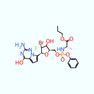 CCCOC(=O)[C@H](C)NP(=O)(OC[C@H]1O[C@@H](c2ccc3c(O)nc(N)nn23)[C@@](F)(Br)C1O)Oc1ccccc1